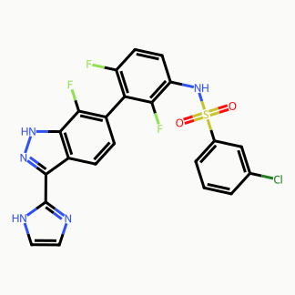 O=S(=O)(Nc1ccc(F)c(-c2ccc3c(-c4ncc[nH]4)n[nH]c3c2F)c1F)c1cccc(Cl)c1